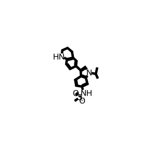 CC(C)n1cc(-c2ccc3c(c2)CCCN3)c2ccc(NS(C)(=O)=O)cc21